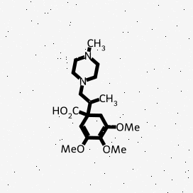 COC1=CC(C(=O)O)(C(C)CN2CCN(C)CC2)CC(OC)=C1OC